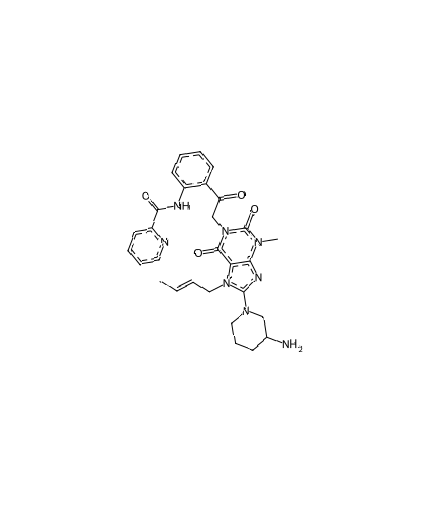 CC=CCn1c(N2CCCC(N)C2)nc2c1c(=O)n(CC(=O)c1ccccc1NC(=O)c1ccccn1)c(=O)n2C